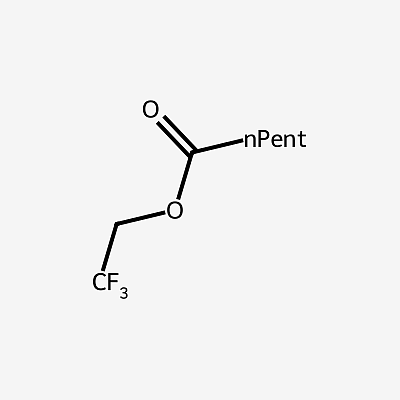 CCCCCC(=O)OCC(F)(F)F